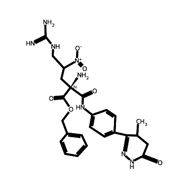 CC1CC(=O)NN=C1c1ccc(NC(=O)[C@@](N)(CC(CNC(=N)N)[N+](=O)[O-])C(=O)OCc2ccccc2)cc1